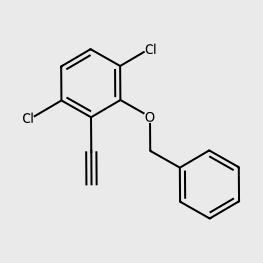 C#Cc1c(Cl)ccc(Cl)c1OCc1ccccc1